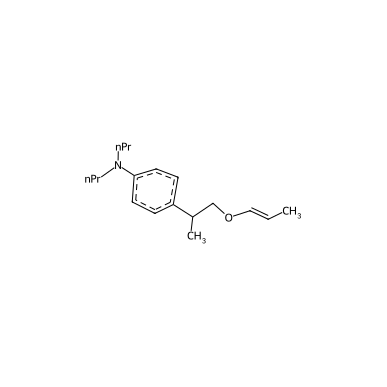 CC=COCC(C)c1ccc(N(CCC)CCC)cc1